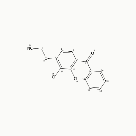 N#CCOc1ccc(C(=O)c2ccccc2)c(Cl)c1Cl